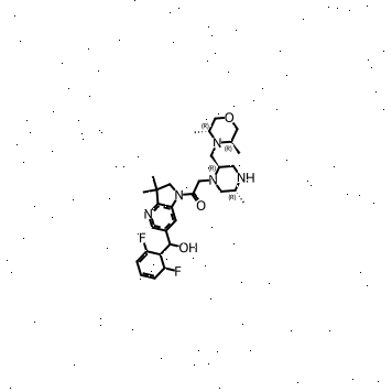 C[C@@H]1CN(CC(=O)N2CC(C)(C)c3ncc(C(O)C4C(F)=CC=CC4F)cc32)[C@@H](CN2[C@H](C)COC[C@H]2C)CN1